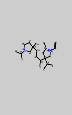 C=CNCC(CCC)(C(C)C)C(C)CCC1(C)CCN(C(C)C)C1